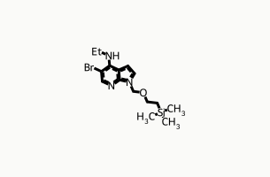 CCNc1c(Br)cnc2c1ccn2COCC[Si](C)(C)C